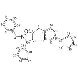 c1ccc(CN2OC(Cc3ccc(-c4ccccc4)cc3)CC2c2ccccc2)cc1